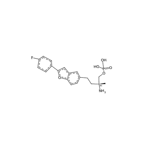 C[C@@](N)(CCc1ccc2oc(-c3ccc(F)cc3)cc2c1)COP(=O)(O)O